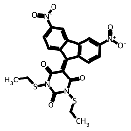 CCSN1C(=O)C(=C2c3ccc([N+](=O)[O-])cc3-c3cc([N+](=O)[O-])ccc32)C(=O)N(SCC)C1=O